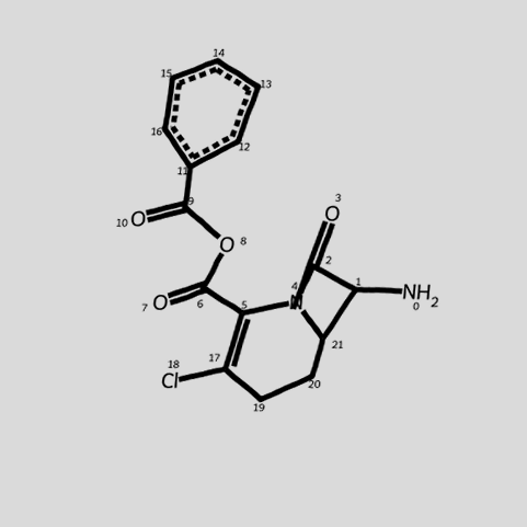 NC1C(=O)N2C(C(=O)OC(=O)c3ccccc3)=C(Cl)CCC12